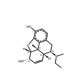 CCN(C)[C@@H]1Cc2ccc(O)c3c2[C@]2(C)[C@H]1C=C[C@H](O)[C@@H]2O3